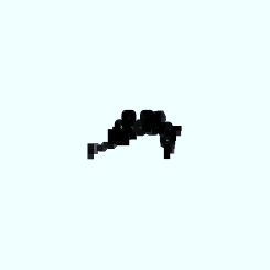 O=C1C(=O)N(Cn2cc(CCCCF)nn2)c2ccc(S(=O)(=O)N3CCCC3COc3ccc(F)cc3F)cc21